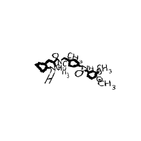 COc1ccc(C(=O)Nc2ccc(C(C)(C)CNC(=O)c3cc4ccccc4[nH]c3=O)cc2)cc1OC